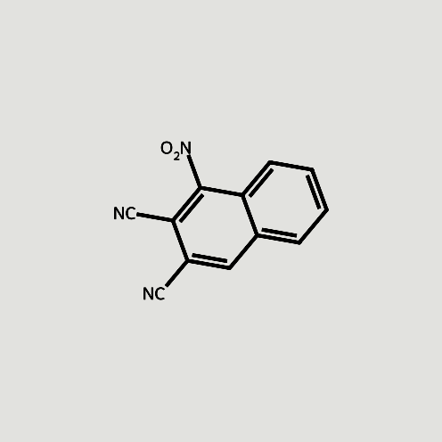 N#Cc1cc2ccccc2c([N+](=O)[O-])c1C#N